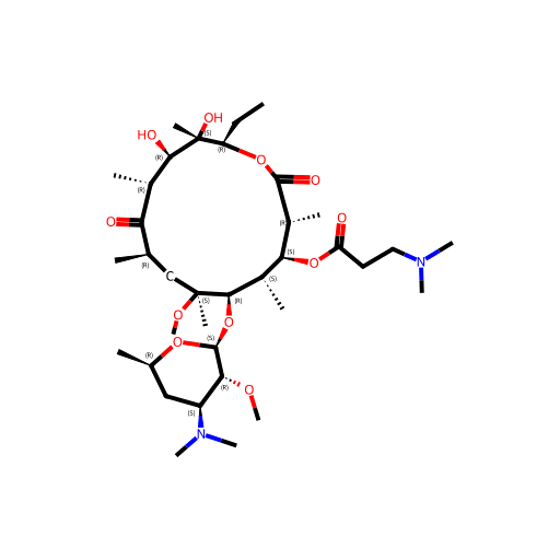 CC[C@H]1OC(=O)[C@H](C)[C@@H](OC(=O)CCN(C)C)[C@H](C)[C@@H](O[C@@H]2O[C@H](C)C[C@H](N(C)C)[C@H]2OC)[C@@](C)(OC)C[C@@H](C)C(=O)[C@H](C)[C@@H](O)[C@]1(C)O